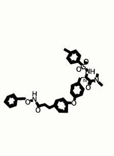 Cc1ccc(S(=O)(=O)N[C@@H](Cc2ccc(Oc3ccc(CCC(=O)NOCc4ccccc4)cc3)cc2)C(=O)N(C)C)cc1